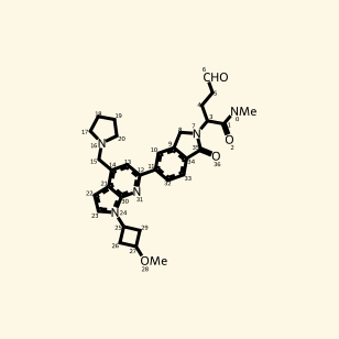 CNC(=O)C(CCC=O)N1Cc2cc(-c3cc(CN4CCCC4)c4ccn(C5CC(OC)C5)c4n3)ccc2C1=O